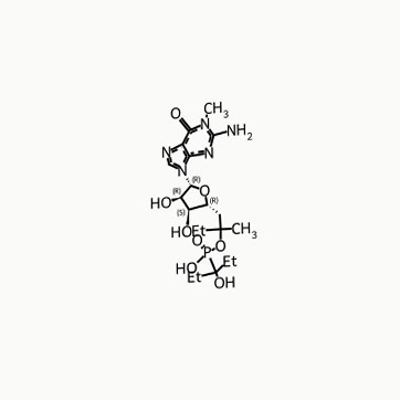 CCC(C)(C[C@H]1O[C@@H](n2cnc3c(=O)n(C)c(N)nc32)[C@H](O)[C@@H]1O)OP(=O)(O)C(O)(CC)CC